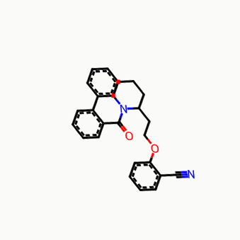 N#Cc1ccccc1OCCC1CCCCN1C(=O)c1ccccc1-c1ccccc1